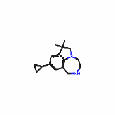 CC1(C)CN2CCNCc3cc(C4CC4)cc1c32